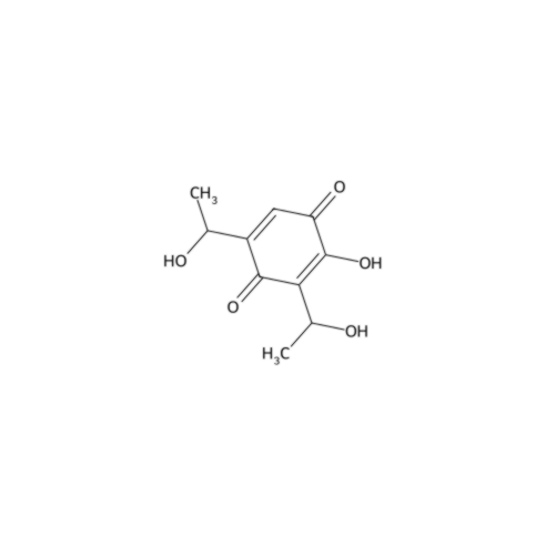 CC(O)C1=CC(=O)C(O)=C(C(C)O)C1=O